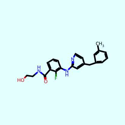 Cc1cccc(Cc2ccnc(Nc3cccc(C(=O)NCCO)c3F)c2)c1